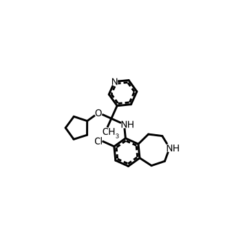 CC(Nc1c(Cl)ccc2c1CCNCC2)(OC1CCCC1)c1cccnc1